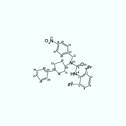 CC(C)c1cccc(C(C)C)c1NC(=O)N(Cc1ccc([N+](=O)[O-])cc1)C1CCC(c2ccccc2)CC1